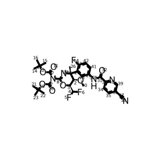 CO[C@H]1[C@@H](C(F)F)OC(N(C(=O)OC(C)(C)C)C(=O)OC(C)(C)C)=N[C@]1(C)c1cc(NC(=O)c2ccc(C#N)cn2)ccc1F